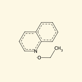 CC[O].c1ccc2ncccc2c1